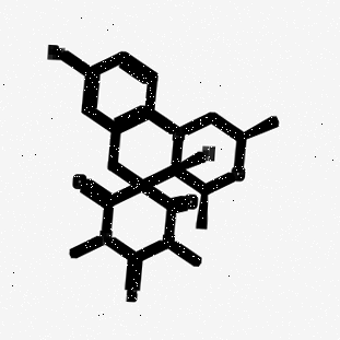 C[C@@H]1CN2c3ccc(Br)cc3CC3(C(=O)N(C)C(=S)N(C)C3=O)[C@H]2[C@H](C)O1